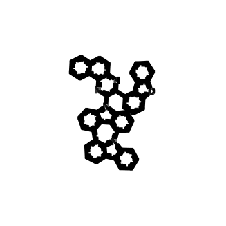 c1ccc2c(c1)ccc1nc(-c3cccc4oc5ccccc5c34)c(-n3c4cccc5c6cccc7c8ccccc8n(c8cccc3c8c54)c67)nc12